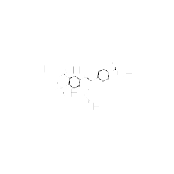 C=CCOc1cc2c(cc1C=Cc1ccc(C(=O)O)cc1)C(C)(C)CCC2(C)C